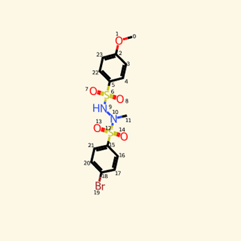 COc1ccc(S(=O)(=O)NN(C)S(=O)(=O)c2ccc(Br)cc2)cc1